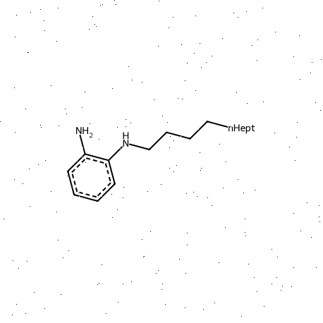 CCCCCCCCCCCNc1ccccc1N